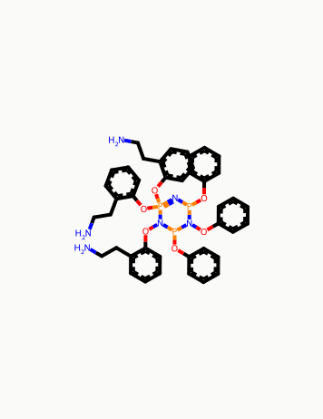 NCCc1ccccc1ON1P(Oc2ccccc2)N(Oc2ccccc2)P(Oc2ccccc2)N=P1(Oc1ccccc1CCN)Oc1ccccc1CCN